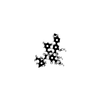 C=Nc1cc(-c2ccc3ncsc3c2)ccc1C(=O)N(CC(Cc1cc(F)cc(F)c1)NC(=O)Cn1nc(C(F)F)c2c1C(F)(F)C1C[C@H]21)c1ccc(Cl)c(C(=N)NSC)c1NC